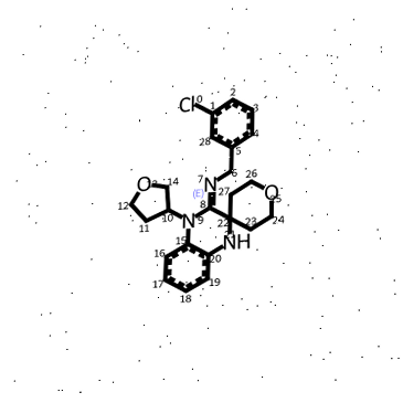 Clc1cccc(C/N=C2/N(C3CCOC3)c3ccccc3NC23CCOCC3)c1